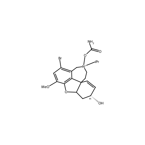 COc1cc(Br)c2c3c1OC1C[C@@H](O)C=CC31CC[N+](OC(N)=O)(C(C)C)C2